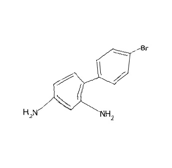 Nc1ccc(-c2ccc(Br)cc2)c(N)c1